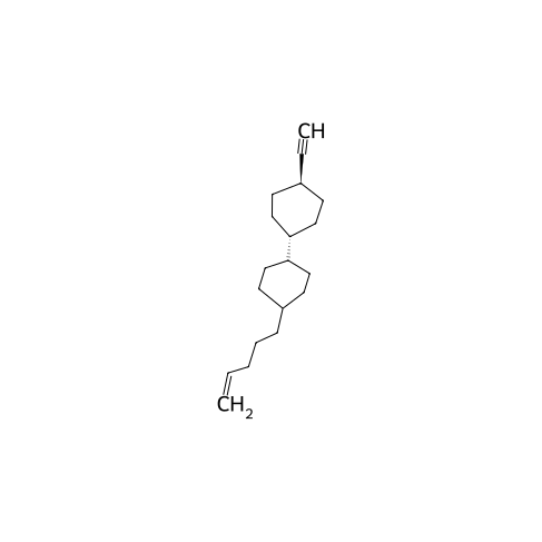 C#C[C@H]1CC[C@H](C2CCC(CCCC=C)CC2)CC1